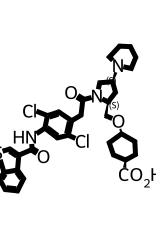 O=C(Nc1cc(Cl)c(CC(=O)N2C[C@@H](N3CCCCC3)C[C@H]2CO[C@H]2CC[C@H](C(=O)O)CC2)cc1Cl)c1csc2ccccc12